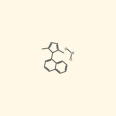 CC1=CC=C(C)[C]1c1cccc2ccccc12.[Cl][Hf][Cl]